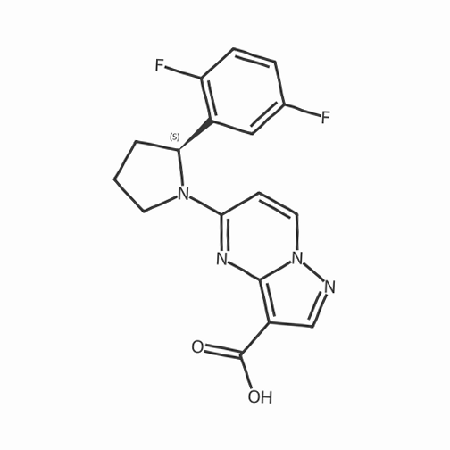 O=C(O)c1cnn2ccc(N3CCC[C@H]3c3cc(F)ccc3F)nc12